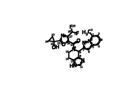 Cc1cccc2cc(C3c4nc[nH]c4CCN3C(=O)c3oc(C4(O)CC4)nc3C(F)F)nn12